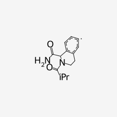 CC(C)C(=O)N1CCc2c[c]ccc2C1C(N)=O